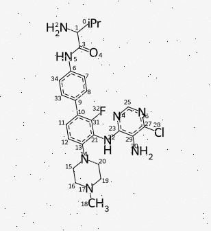 CC(C)C(N)C(=O)Nc1ccc(-c2ccc(N3CCN(C)CC3)c(Nc3ncnc(Cl)c3N)c2F)cc1